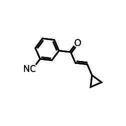 N#Cc1cccc(C(=O)C=CC2CC2)c1